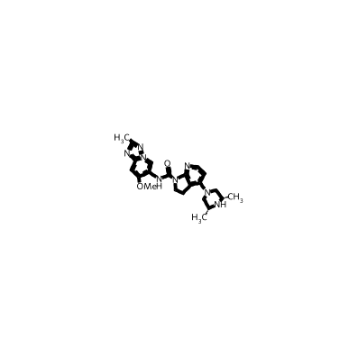 COc1cc2nc(C)nn2cc1NC(=O)N1CCc2c(N3C[C@@H](C)N[C@@H](C)C3)ccnc21